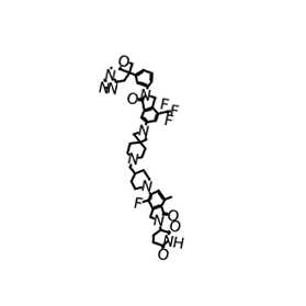 Cc1cc(N2CCC(CN3CCC4(CC3)CN(c3cc5c(c(C(F)(F)F)c3)CN(c3cccc(C6(Cc7nncn7C)COC6)c3)C5=O)C4)CC2)c(F)c2c1C(=O)N(C1CCC(=O)NC1=O)C2